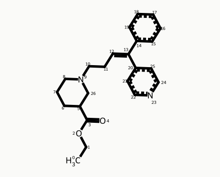 CCOC(=O)C1CCCN(CCC=C(c2ccccc2)c2ccncc2)C1